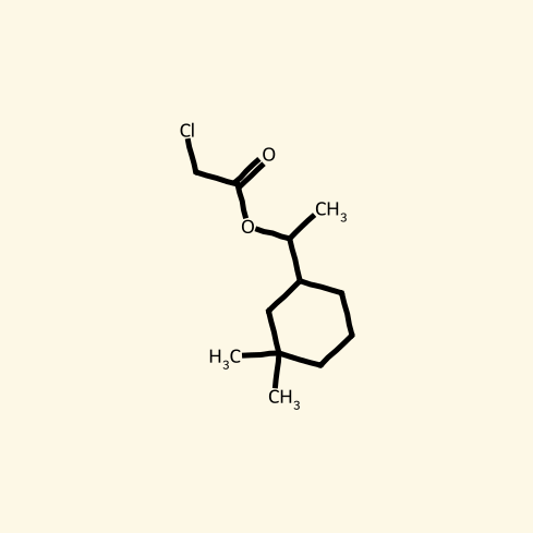 CC(OC(=O)CCl)C1CCCC(C)(C)C1